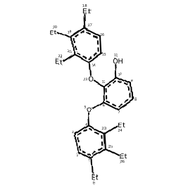 CCc1ccc(Oc2cccc(O)c2Oc2ccc(CC)c(CC)c2CC)c(CC)c1CC